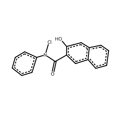 O=C(c1cc2ccccc2cc1O)N(Cl)c1ccccc1